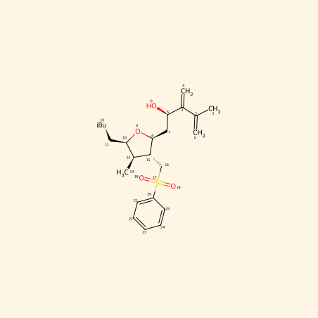 C=C(C)C(=C)[C@H](O)C[C@@H]1O[C@H](C[C@H](C)CC)[C@H](C)[C@H]1CS(=O)(=O)c1ccccc1